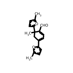 Cc1ccc(C2=CC=C(C=O)C(C)(c3ccc(C)o3)C2)o1